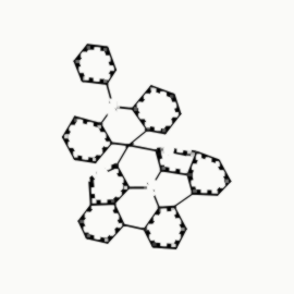 c1ccc(N2c3ccccc3C3(c4ccccc42)c2ccc4cccc5c4c2N2c4c-5cccc4-c4cccc5ccc3c2c45)cc1